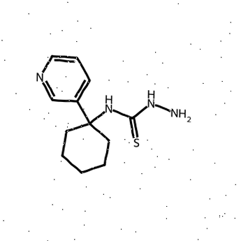 NNC(=S)NC1(c2cccnc2)CCCCC1